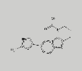 Cn1cc(-c2ccc3nc4c(n3c2)N(C(=O)O)CCC4)cn1